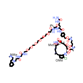 CNN(C)Cc1cc2ccccc2n1CCC(=O)NCC(=O)NCCOCCOCCOCCOCCOCCOCCC(=O)N[C@H](C(=O)N[C@@H](CCCNC(N)=O)C(=O)Nc1ccc(COC(=O)N(C)CCCC(=O)N(C)[C@@H](C)C(=O)O[C@H]2CC(=O)N(C)c3cc(cc(OC)c3Cl)C/C(C)=C/C=C/[C@@H](OC)[C@@]3(O)C[C@H](OC(=O)N3)[C@@H](C)C3O[C@]32C)cc1)C(C)C